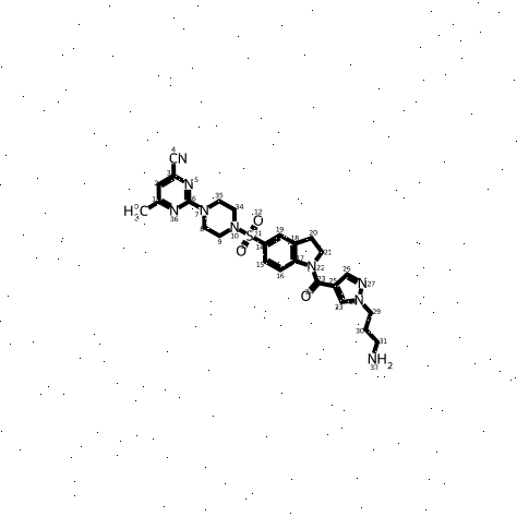 Cc1cc(C#N)nc(N2CCN(S(=O)(=O)c3ccc4c(c3)CCN4C(=O)c3cnn(CCCN)c3)CC2)n1